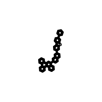 c1ccc(-c2ccc3c(c2)oc2cc(-c4ccc5ccc(-c6cc7c8ccccc8c8ccccc8c7c7ccccc67)cc5c4)ccc23)cc1